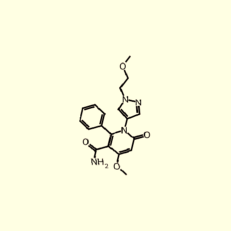 COCCn1cc(-n2c(-c3ccccc3)c(C(N)=O)c(OC)cc2=O)cn1